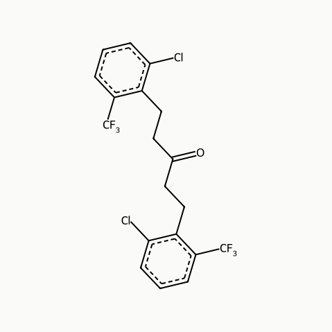 O=C(CCc1c(Cl)cccc1C(F)(F)F)CCc1c(Cl)cccc1C(F)(F)F